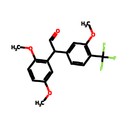 COc1ccc(OC)c(C(C=O)c2ccc(C(F)(F)F)c(OC)c2)c1